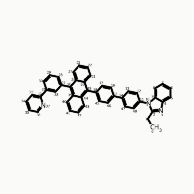 CCc1nc2ccccc2n1-c1ccc(-c2ccc(-c3c4ccccc4c(-c4cccc(-c5ccccn5)c4)c4ccccc34)cc2)cc1